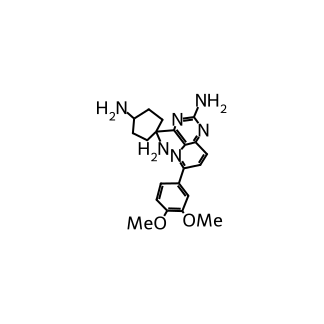 COc1ccc(-c2ccc3nc(N)nc(C4(N)CCC(N)CC4)c3n2)cc1OC